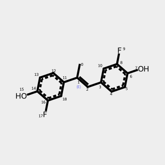 C/C(=C\c1ccc(O)c(F)c1)c1ccc(O)c(F)c1